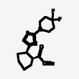 COC(=O)[C@@H]1CCCC[C@H]1c1csc(N2CCC(F)(F)CC2)n1